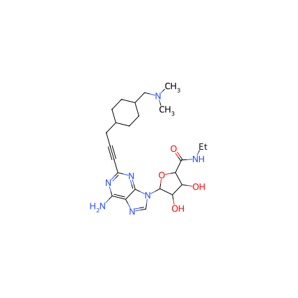 CCNC(=O)C1OC(n2cnc3c(N)nc(C#CCC4CCC(CN(C)C)CC4)nc32)C(O)C1O